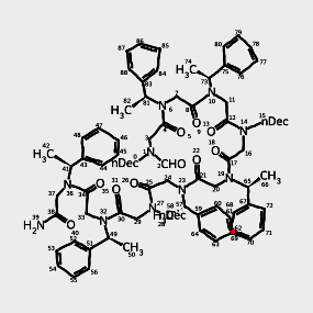 CCCCCCCCCCN(C=O)CC(=O)N(CC(=O)N(CC(=O)N(CCCCCCCCCC)CC(=O)N(CC(=O)N(CC(=O)N(CCCCCCCCCC)CC(=O)N(CC(=O)N(CC(N)=O)[C@@H](C)c1ccccc1)[C@@H](C)c1ccccc1)[C@@H](C)c1ccccc1)[C@@H](C)c1ccccc1)[C@@H](C)c1ccccc1)[C@@H](C)c1ccccc1